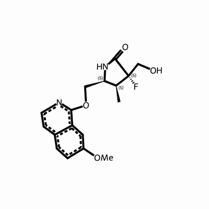 COc1ccc2ccnc(OC[C@H]3NC(=O)[C@@](F)(CO)[C@H]3C)c2c1